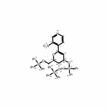 CC(C)[Si](OC[C@H]1OC(c2ccncc2[N+](=O)[O-])=C[C@@H](O[Si](C(C)C)(C(C)C)C(C)C)[C@@H]1O[Si](C(C)C)(C(C)C)C(C)C)(C(C)C)C(C)C